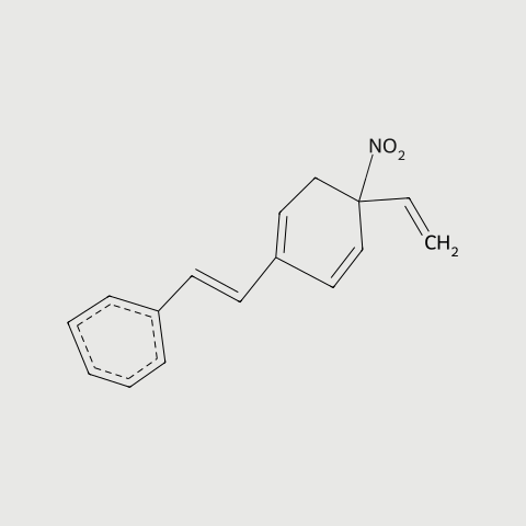 C=CC1([N+](=O)[O-])C=CC(C=Cc2ccccc2)=CC1